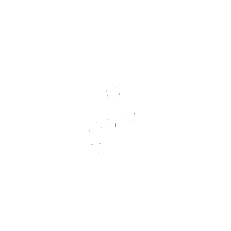 CN(C)S(=O)(=O)c1cccc(NC(=O)c2cnc(C(F)(F)F)cc2Oc2ccc(OC(F)(F)F)cc2Cl)c1